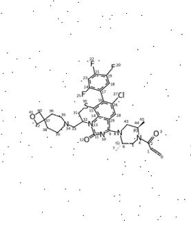 C=CC(=O)N1C[C@H](C)N(c2nc(=O)n3c4c(c(-c5cc(F)c(F)cc5F)c(Cl)cc24)SCC3CN2CCC3(CC2)COC3)C[C@H]1C